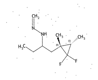 C=NNC(CC)C[C@]1(C)[C@H](C)C1(F)F